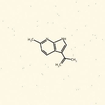 C=C(C)c1c[nH]c2nc(C)ccc12